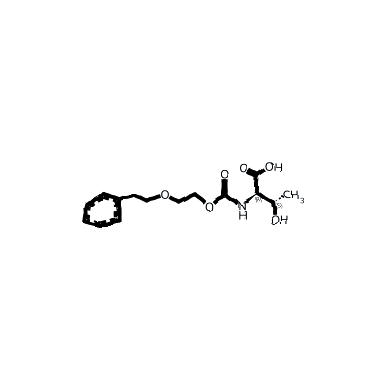 C[C@H](O)[C@@H](NC(=O)OCCOCCc1ccccc1)C(=O)O